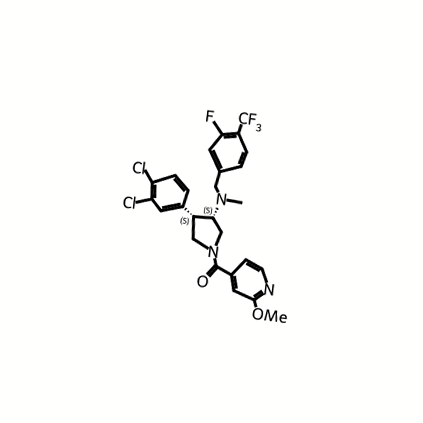 COc1cc(C(=O)N2C[C@H](c3ccc(Cl)c(Cl)c3)[C@H](N(C)Cc3ccc(C(F)(F)F)c(F)c3)C2)ccn1